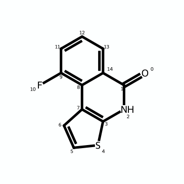 O=c1[nH]c2sccc2c2c(F)cccc12